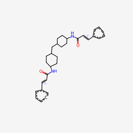 O=C(/C=C/c1ccccc1)NC1CCC(CC2CCC(NC(=O)/C=C/c3ccccc3)CC2)CC1